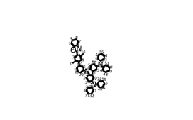 Cc1cc(-c2nc3ccccc3o2)c(C)cc1-c1cccc(-n2c3ccc(N(c4ccccc4)c4ccccc4)cc3c3cc(N(c4ccccc4)c4ccccc4)ccc32)c1